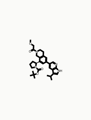 COCC(=O)N1CCc2cc(-c3cnc4[nH]cc(C(C)C)c4c3)cc([C@@H]3CCCN3C(=O)OC(C)(C)C)c2C1